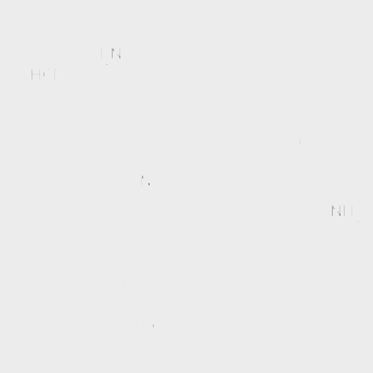 CCCc1c(C(=O)C(C)C)c2ccc(C(N)=O)cc2n1Cc1ccccc1N.Cl